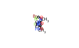 CNC(=O)c1ccc(-n2c(-n3nc(C)c(F)c3C)nc3c(c2=O)CC(C)N(C(=O)c2ccc(Br)c(C(F)(F)F)c2)C3)cc1